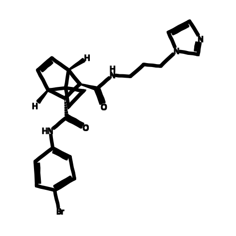 O=C(NCCCn1ccnc1)[C@H]1[C@H](C(=O)Nc2ccc(Br)cc2)[C@@H]2C=C[C@H]1C21CC1